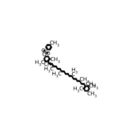 CC1=C(/C=C/C(C)=C/C=C/C(C)=C/C=C/C=C(C)/C=C/C=C(C)/C=C/C2=C(C)CC(OS(=O)(=O)c3ccc(C)cc3)CC2(C)C)C(C)(C)CC(C)C1